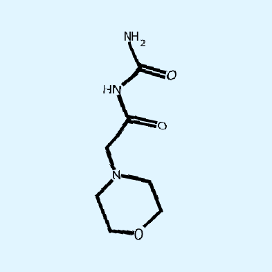 NC(=O)NC(=O)CN1CCOCC1